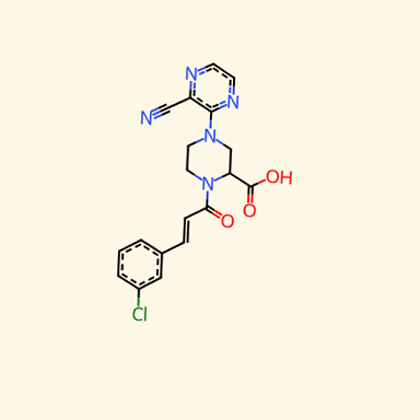 N#Cc1nccnc1N1CCN(C(=O)C=Cc2cccc(Cl)c2)C(C(=O)O)C1